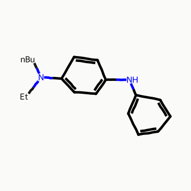 CCCCN(CC)c1ccc(Nc2ccccc2)cc1